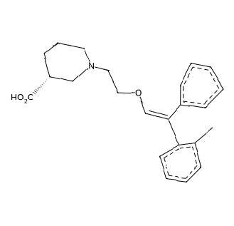 Cc1ccccc1/C(=C/OCCN1CCC[C@@H](C(=O)O)C1)c1ccccc1